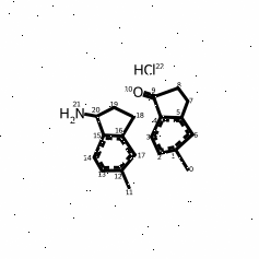 Cc1ccc2c(c1)CCC2=O.Cc1ccc2c(c1)CCC2N.Cl